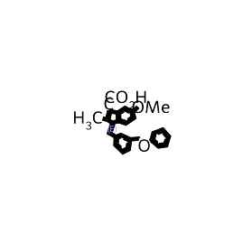 COc1ccc2c(c1)C(CC(=O)O)=C(C)/C2=C/c1cccc(COc2ccccc2)c1